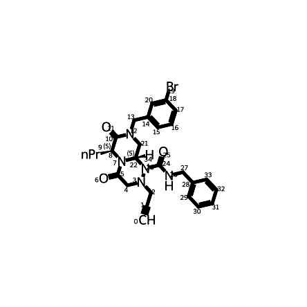 C#CCN1CC(=O)N2[C@@H](CCC)C(=O)N(Cc3cccc(Br)c3)C[C@@H]2N1C(=O)NCc1ccccc1